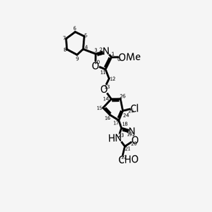 COc1nc(C2CCCCC2)oc1COc1ccc(C2=NOC(C=O)N2)c(Cl)c1